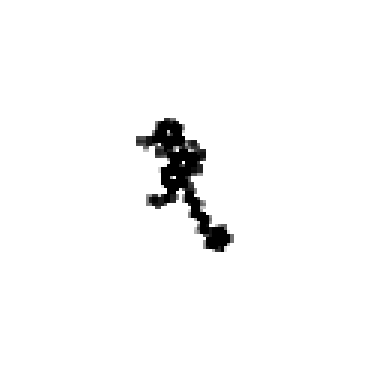 COc1ccc2c(Nc3c(C)cncc3C)cc(=O)[nH]c2c1OCCCCCn1ccnc1